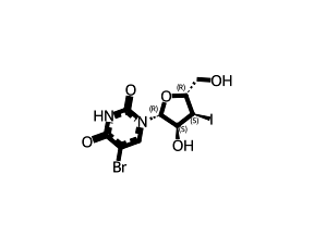 O=c1[nH]c(=O)n([C@@H]2O[C@H](CO)[C@@H](I)[C@H]2O)cc1Br